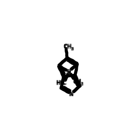 CC1=C2C3=CN=CC3=C1[Si]2(C)C